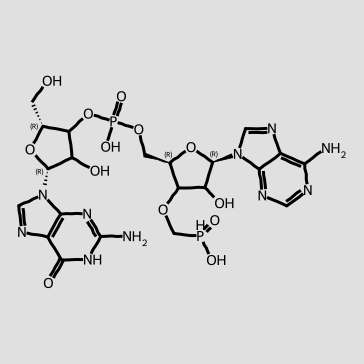 Nc1nc2c(ncn2[C@@H]2O[C@H](CO)C(OP(=O)(O)OC[C@H]3O[C@@H](n4cnc5c(N)ncnc54)C(O)C3OC[PH](=O)O)C2O)c(=O)[nH]1